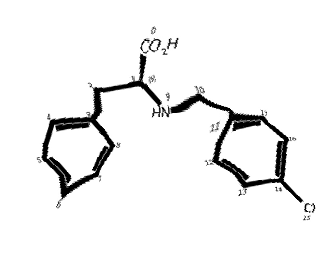 O=C(O)[C@H](Cc1ccccc1)NCc1ccc(Cl)cc1